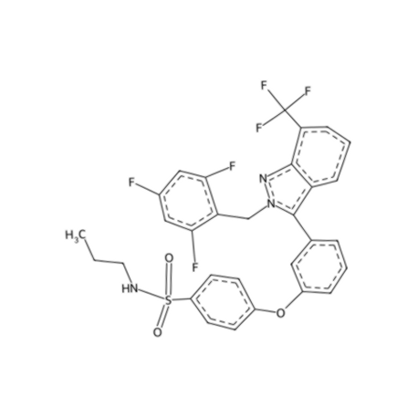 CCCNS(=O)(=O)c1ccc(Oc2cccc(-c3c4cccc(C(F)(F)F)c4nn3Cc3c(F)cc(F)cc3F)c2)cc1